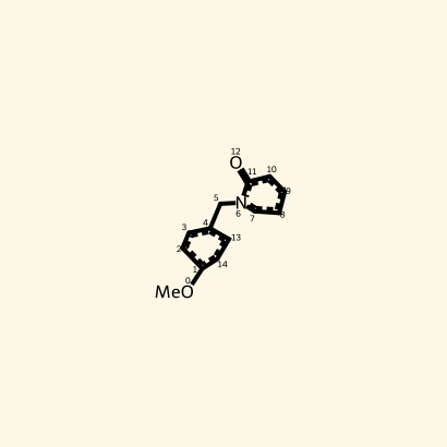 COc1ccc(Cn2cc[c]cc2=O)cc1